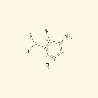 Cl.Nc1cccc(C(F)F)c1F